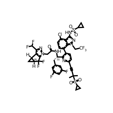 CC(C)(C#Cc1ccc(-c2ccc(Cl)c3c(NS(=O)(=O)C4CC4)nn(CC(F)(F)F)c23)c([C@H](Cc2cc(F)cc(F)c2)NC(=O)Cn2nc(C(F)F)c3c2C(F)(F)[C@@H]2C[C@H]32)n1)S(=O)(=O)C1CC1